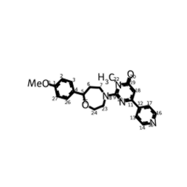 COc1ccc(C2CCN(c3nc(-c4ccncc4)cc(=O)n3C)CCO2)cc1